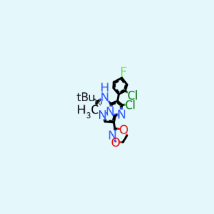 C[C@@H](Nc1c(-c2ccc(F)cc2Cl)c(Cl)nc2c(C3=NOCCO3)cnn12)C(C)(C)C